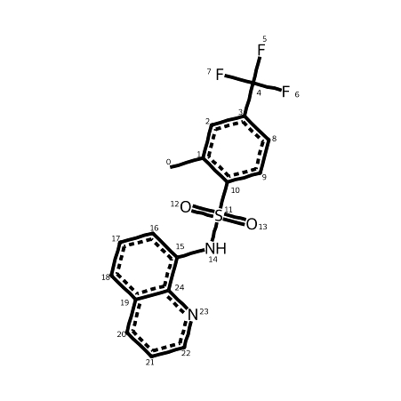 Cc1cc(C(F)(F)F)ccc1S(=O)(=O)Nc1cccc2cccnc12